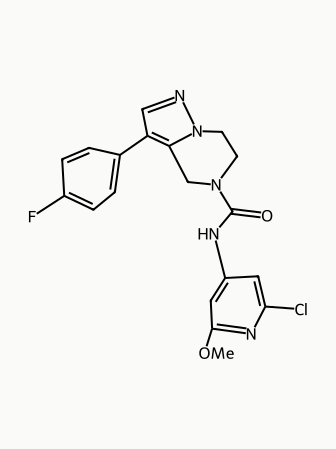 COc1cc(NC(=O)N2CCn3ncc(-c4ccc(F)cc4)c3C2)cc(Cl)n1